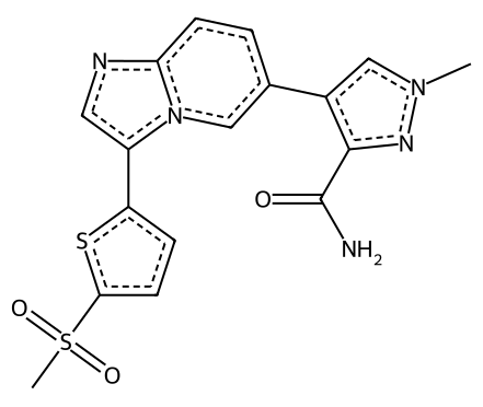 Cn1cc(-c2ccc3ncc(-c4ccc(S(C)(=O)=O)s4)n3c2)c(C(N)=O)n1